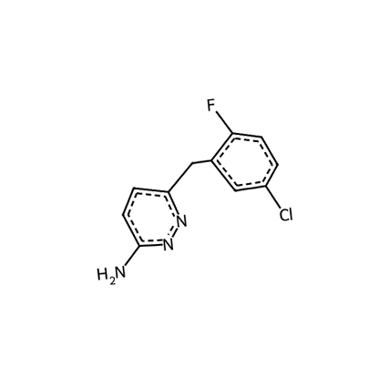 Nc1ccc(Cc2cc(Cl)ccc2F)nn1